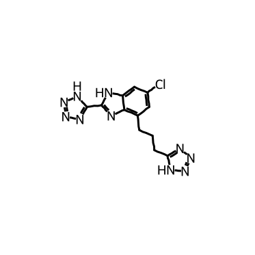 Clc1cc(CCCc2nnn[nH]2)c2nc(-c3nnn[nH]3)[nH]c2c1